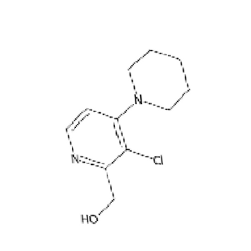 OCc1nccc(N2CCCCC2)c1Cl